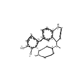 CN1CCC(N(C)C2[C]=CNc3ccc(-c4ccc(O)c(Cl)c4)cc32)CC1